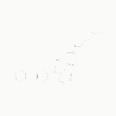 Cc1ccc(Oc2ccc(Nc3ncnc4sc5c(c34)[C@@H](C)CN(C(=O)C=CCN(C)C(C)(C)C)C5)cc2C)cn1